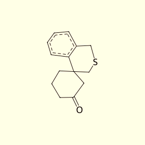 O=C1CCCC2(CSCc3ccccc32)C1